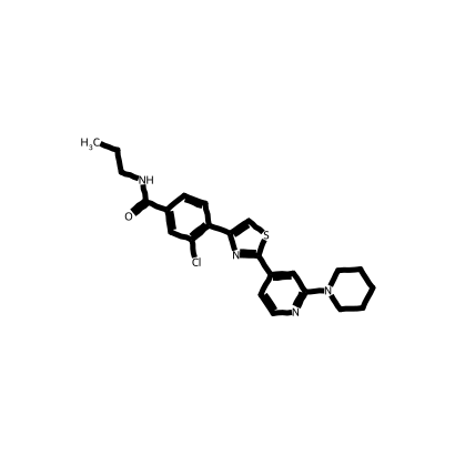 CCCNC(=O)c1ccc(-c2csc(-c3ccnc(N4CCCCC4)c3)n2)c(Cl)c1